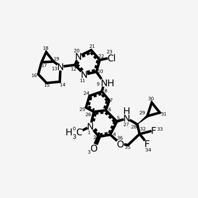 Cn1c(=O)c2c(c3cc(Nc4nc(N5CCCC6CC65)ncc4Cl)ccc31)N[C@@H](C1CC1)C(F)(F)CO2